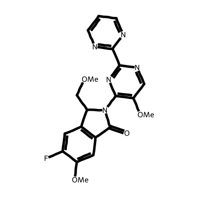 COCC1c2cc(F)c(OC)cc2C(=O)N1c1nc(-c2ncccn2)ncc1OC